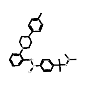 Cc1ccc(C2CCN(c3ccccc3N[S+]([O-])c3ccc(C(C)(C)SN(C)C)cc3)CC2)cc1